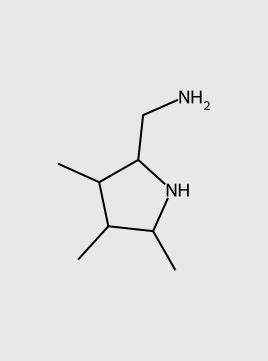 CC1NC(CN)C(C)C1C